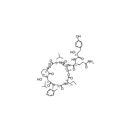 CC[C@H](C)[C@@H]1NC(=O)[C@H](Cc2ccccc2)N(C)C(=O)[C@H](CC(C)C)N2C(=O)[C@H](CC[C@H]2O)NC(=O)[C@H](CC(C)C)NC(=O)[C@@H](NC(=O)[C@H](CCC(N)=O)NC(=O)[C@H](O)Cc2ccc(O)cc2)[C@@H](C)OC1=O